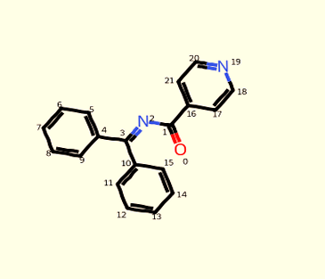 O=C(N=C(c1ccccc1)c1ccccc1)c1ccncc1